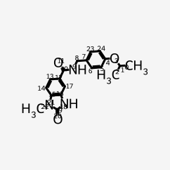 CC(C)Oc1ccc(CNC(=O)c2ccc3c(c2)[nH]c(=O)n3C)cc1